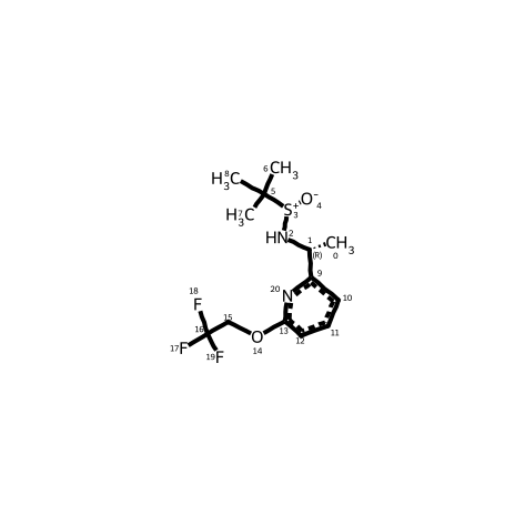 C[C@@H](N[S+]([O-])C(C)(C)C)c1cccc(OCC(F)(F)F)n1